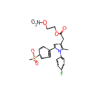 Cc1c(CC(=O)OCCO[N+](=O)[O-])cc(-c2ccc(S(C)(=O)=O)cc2)n1-c1ccc(F)cc1